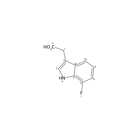 O=C(O)Cc1c[nH]c2c(F)cccc12